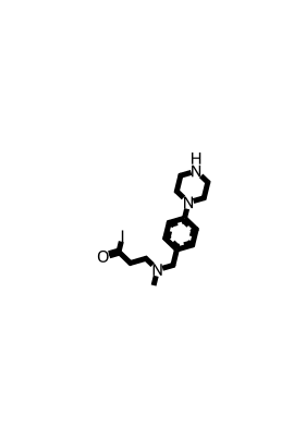 CN(CCC(=O)I)Cc1ccc(N2CCNCC2)cc1